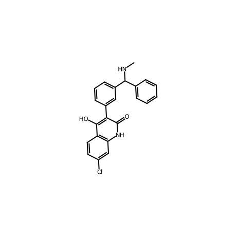 CNC(c1ccccc1)c1cccc(-c2c(O)c3ccc(Cl)cc3[nH]c2=O)c1